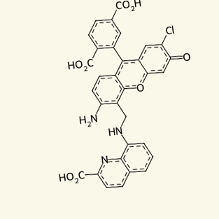 Nc1ccc2c(-c3cc(C(=O)O)ccc3C(=O)O)c3cc(Cl)c(=O)cc-3oc2c1CNc1cccc2ccc(C(=O)O)nc12